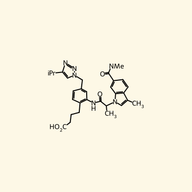 CNC(=O)c1ccc2c(C)cn(C(C)C(=O)Nc3cc(Cn4cc(C(C)C)nn4)ccc3CCCC(=O)O)c2c1